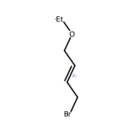 C[CH]OC/C=C/CBr